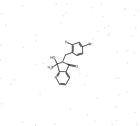 BC1(O)c2ncccc2C(=O)N1Cc1ccc(Br)cc1F